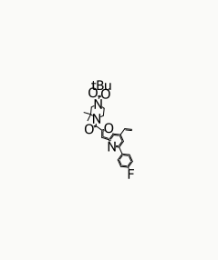 C=Cc1cc(-c2ccc(F)cc2)nc2cc(C(=O)N3CCN(C(=O)OC(C)(C)C)CC3(C)C)oc12